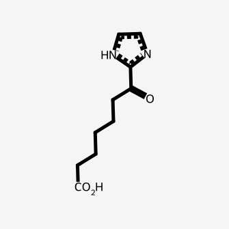 O=C(O)CCCCCC(=O)c1ncc[nH]1